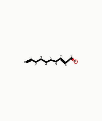 C=CCCCCC/C=C/[C]=O